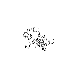 C[C@H](Cn1cnc2c(N)ccnc21)OCP(=O)(NC(C)(C)C(=O)OCC1CCCCC1)NC(C)(C)C(=O)OCC1CCCCC1